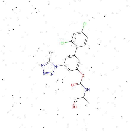 CCc1nnnn1-c1cc(OC(=O)NC(C)CO)cc(-c2ccc(Cl)cc2Cl)c1